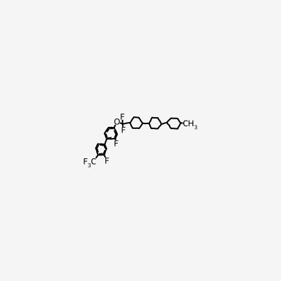 CC1CCC(C2CCC(C3CCC(C(F)(F)Oc4ccc(-c5ccc(C(F)(F)F)c(F)c5)c(F)c4)CC3)CC2)CC1